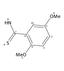 COc1ccc(OC)c(C([NH])=S)c1